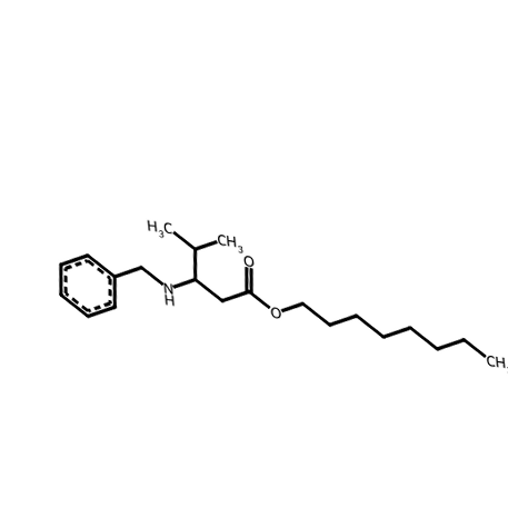 CCCCCCCCOC(=O)CC(NCc1ccccc1)C(C)C